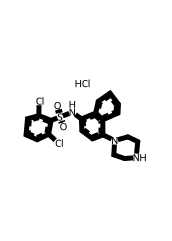 Cl.O=S(=O)(Nc1ccc(N2CCNCC2)c2ccccc12)c1c(Cl)cccc1Cl